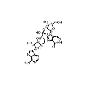 Nc1ncnc2c1ncn2[C@@H]1O[C@H](CCOP(=O)(O)O[C@@H]2[C@H](O)[C@@H](CO)O[C@H]2n2cnc3c(=O)[nH]ncc32)[C@@H](O)[C@H]1O